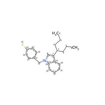 CCCC(CCC)c1cn(Cc2ccc(F)cc2)c2ccccc12